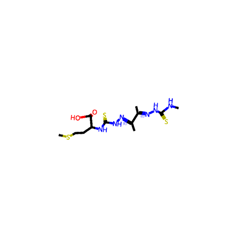 CNC(=S)N/N=C(C)/C(C)=N/NC(=S)NC(CCSC)C(=O)O